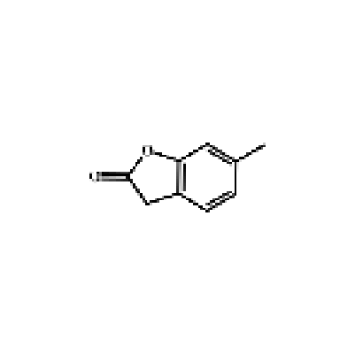 Cc1ccc2c(c1)OC(=O)C2